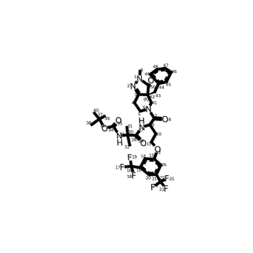 CN1N=C2CCN(C(=O)C(CCOc3cc(C(F)(F)F)cc(C(F)(F)F)c3)NC(=O)C(C)(C)NC(=O)OC(C)(C)C)C[C@@]2(Cc2ccccc2)C1=O